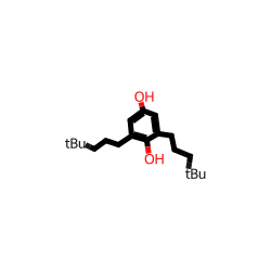 CC(C)(C)CCCc1cc(O)cc(CCCC(C)(C)C)c1O